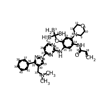 BC(B)(B)Oc1cc(N2CCOCC2)c(NC(=O)C=C)cc1Nc1nccc(-n2cc(CN(C)C)c(-c3ccccc3)n2)n1